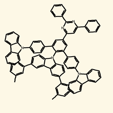 Cc1cccc(-c2ccc3c(c2)c2cc(-c4cccc(C)c4)ccc2n3-c2c(-c3ccc(-n4c5ccccc5c5ccccc54)cc3)cc(-c3cc(-c4ccccc4)nc(-c4ccccc4)n3)cc2-c2ccc(-n3c4ccccc4c4ccccc43)cc2)c1